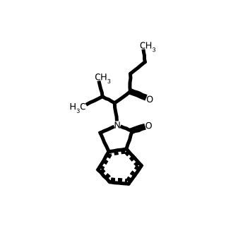 CCCC(=O)C(C(C)C)N1Cc2ccccc2C1=O